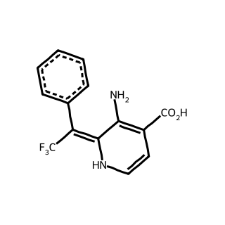 NC1=C(C(=O)O)C=CNC1=C(c1ccccc1)C(F)(F)F